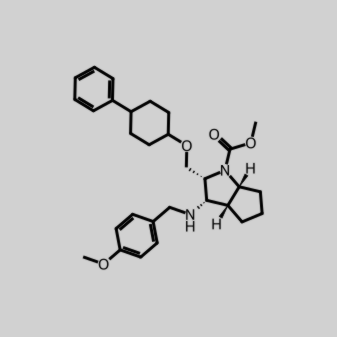 COC(=O)N1[C@@H]2CCC[C@@H]2[C@H](NCc2ccc(OC)cc2)[C@@H]1COC1CCC(c2ccccc2)CC1